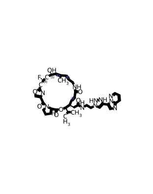 CC1=C\[C@@H](O)C[C@@H](F)Cc2nc(co2)C(=O)N2CCC[C@@H]2C(=O)O[C@H](C(C)C)[C@H](CC(=O)NCCN2C=C(c3cnc4cccnn34)NN2)/C=C/C(=O)NC\C=C\1